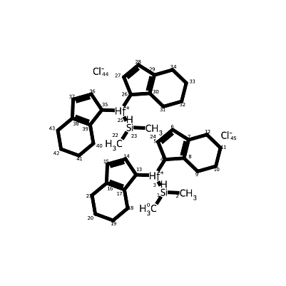 C[SiH](C)[Hf+]([CH]1C=CC2=C1CCCC2)[CH]1C=CC2=C1CCCC2.C[SiH](C)[Hf+]([CH]1C=CC2=C1CCCC2)[CH]1C=CC2=C1CCCC2.[Cl-].[Cl-]